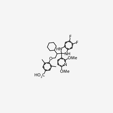 COc1ccc(C2(C(COc3c(C)cc(C(=O)O)cc3C)C3CCCCC3)Nc3cc(F)c(F)cc3N2)c(OC)n1